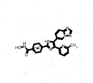 Cc1cccc(-c2nc(C34CCC(C(=O)NO)(CC3)CC4)[nH]c2-c2ccc3ncnn3c2)n1